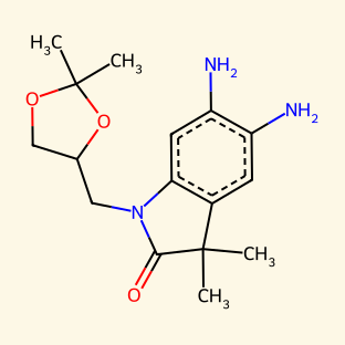 CC1(C)OCC(CN2C(=O)C(C)(C)c3cc(N)c(N)cc32)O1